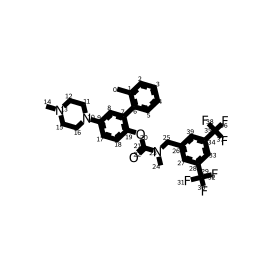 Cc1ccccc1-c1cc(N2CCN(C)CC2)ccc1OC(=O)N(C)Cc1cc(C(F)(F)F)cc(C(F)(F)F)c1